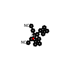 N#Cc1cccc(-c2ccc(-c3nc(-c4ccc(-c5cccc(C#N)c5)cc4)c4cc(-c5ccc6c(c5)C5(c7ccccc7-c7ccccc75)c5ccccc5-6)cc(-c5ccc6c(c5)C5(c7ccccc7-c7ccccc75)c5ccccc5-6)c4n3)cc2)c1